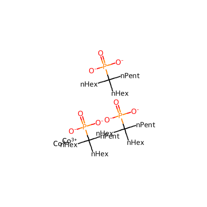 CCCCCCC(CCCCC)(CCCCCC)P(=O)([O-])[O-].CCCCCCC(CCCCC)(CCCCCC)P(=O)([O-])[O-].CCCCCCC(CCCCC)(CCCCCC)P(=O)([O-])[O-].[Co+3].[Co+3]